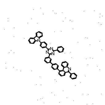 c1ccc(-c2nc(-c3ccc(-n4c5ccccc5c5ccccc54)cc3)nc(-c3cccc(-c4ccc(-c5cccc6c(-c7ccccc7)nc7ccccc7c56)cc4)c3)n2)cc1